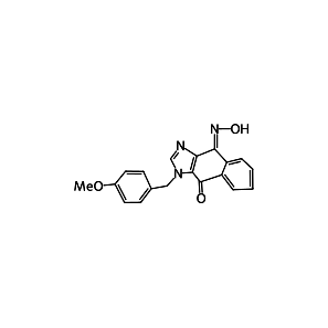 COc1ccc(Cn2cnc3c2C(=O)c2ccccc2C3=NO)cc1